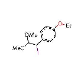 CCOc1ccc(C(I)C(OC)OC)cc1